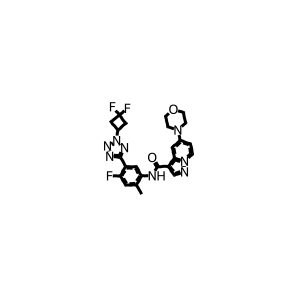 Cc1cc(F)c(-c2nnn(C3CC(F)(F)C3)n2)cc1NC(=O)c1cnn2ccc(N3CCOCC3)cc12